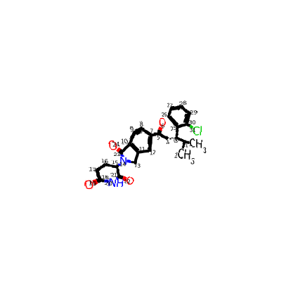 CC(C)[C@H](CC(=O)c1ccc2c(c1)CN(C1CCC(=O)NC1=O)C2=O)c1ccccc1Cl